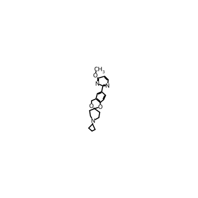 COc1ccnc(-c2ccc3c(c2)COC2(CCN(C4CCC4)CC2)O3)n1